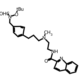 CN(CCCc1ccc(CN(C=O)OC(C)(C)C)cc1)CCNC(=O)c1ccc2ccccc2n1